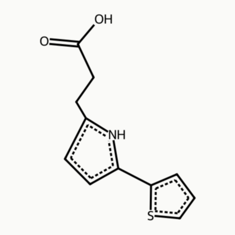 O=C(O)CCc1ccc(-c2cccs2)[nH]1